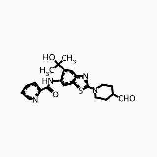 CC(C)(O)c1cc2nc(N3CCC(C=O)CC3)sc2cc1NC(=O)c1ccccn1